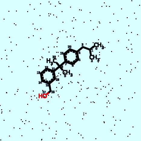 CC(C)Cc1ccc(C(C)(C)c2cccc(CO)c2)cc1